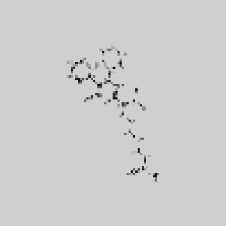 C=N/C(=C(\N=C(/C)N(CCCCOCC(=O)O)C(C)C)c1ccccc1)c1ccccc1